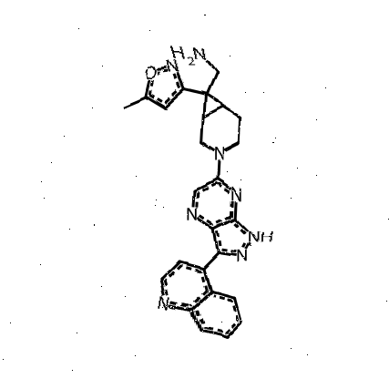 Cc1cc(C2(CN)C3CCN(c4cnc5c(-c6ccnc7ccccc67)n[nH]c5n4)CC32)no1